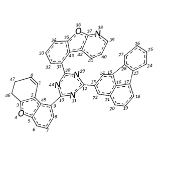 C1=Cc2c(oc3cccc(-c4nc(-c5cc6c7c(cccc7c5)-c5ccccc5-6)nc(-c5cccc6oc7ncccc7c56)n4)c23)CC1